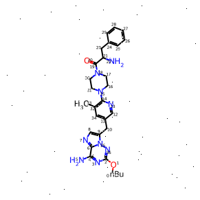 CCCCOc1nc(N)c2ncc(Cc3cnc(N4CCN(C(=O)C(N)Cc5ccccc5)CC4)c(C)c3)n2n1